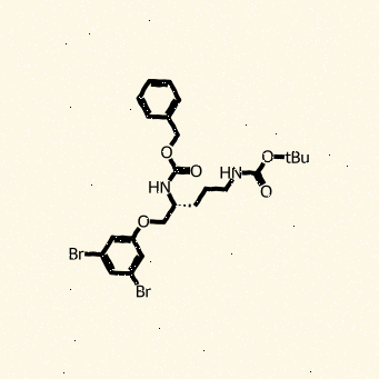 CC(C)(C)OC(=O)NCCC[C@H](COc1cc(Br)cc(Br)c1)NC(=O)OCc1ccccc1